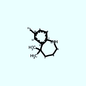 CC1(C)CCCNc2ccc(I)cc21